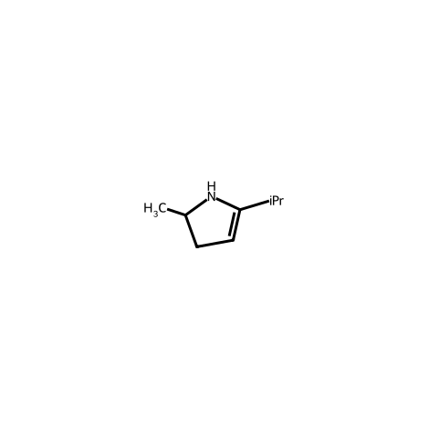 CC1CC=C(C(C)C)N1